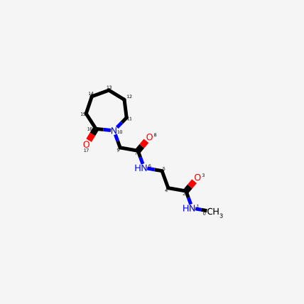 CNC(=O)CCNC(=O)CN1CCCCCC1=O